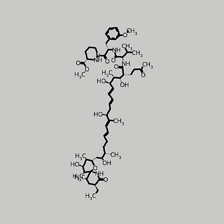 CC[C@H]1C[C@H](C)[C@@]2(NC1=O)O[C@@H](C[C@H](O)[C@@H](C)CC/C=C/C=C(\C)[C@@H](O)C/C=C/C=C/[C@@H](O)[C@H](C)[C@@H](O)[C@@H](CCC(C)=O)C(=O)N[C@H](C(=O)N[C@@H](Cc1cccc(OC)c1)C(=O)N1CCC[C@@H](C(=O)OC)N1)C(C)C)[C@H](C)[C@H](O)[C@@H]2C